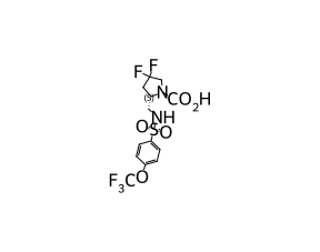 O=C(O)N1CC(F)(F)C[C@H]1CNS(=O)(=O)c1ccc(OC(F)(F)F)cc1